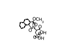 COC(=O)c1ccc2ccccc2c1C(=O)NC(CS(=O)(=O)O)C(=O)O